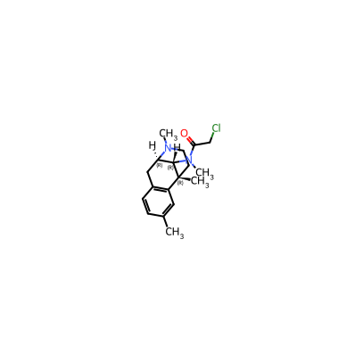 Cc1ccc2c(c1)[C@@]1(C)CCN(C)[C@H](C2)[C@@H]1N(C)C(=O)CCl